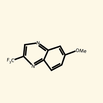 COc1ccc2nc(C(F)(F)F)cnc2c1